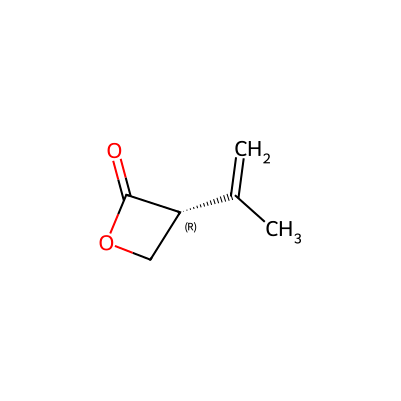 C=C(C)[C@@H]1COC1=O